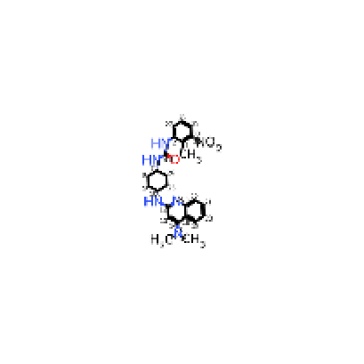 Cc1c(NC(=O)N[C@H]2CC[C@@H](Nc3cc(N(C)C)c4ccccc4n3)CC2)cccc1[N+](=O)[O-]